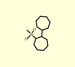 C[Si](Cl)(Cl)C1CCCCCC1C1CCCCCC1